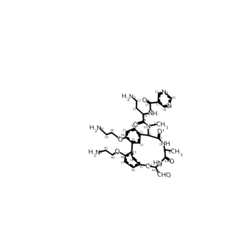 CC1NC(=O)C(N(C)C(=O)C(CCN)NC(=O)c2cncnc2)c2ccc(OCCN)c(c2)-c2cc(ccc2OCCN)CC(C=O)NC1=O